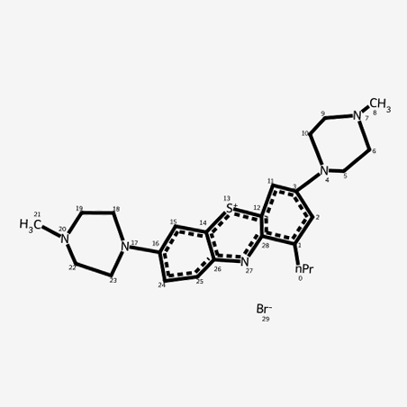 CCCc1cc(N2CCN(C)CC2)cc2[s+]c3cc(N4CCN(C)CC4)ccc3nc12.[Br-]